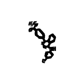 COC(=O)c1ccc(-c2nnc(Nc3ccc(Cl)cc3)c3ccccc23)cc1